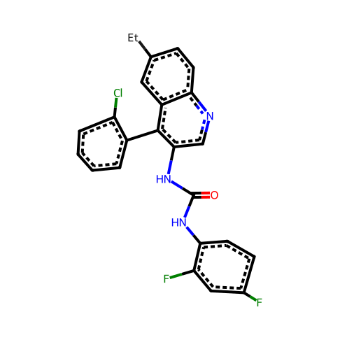 CCc1ccc2ncc(NC(=O)Nc3ccc(F)cc3F)c(-c3ccccc3Cl)c2c1